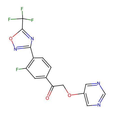 O=C(COc1cncnc1)c1ccc(-c2noc(C(F)(F)F)n2)c(F)c1